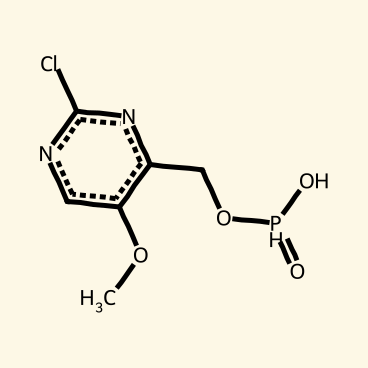 COc1cnc(Cl)nc1CO[PH](=O)O